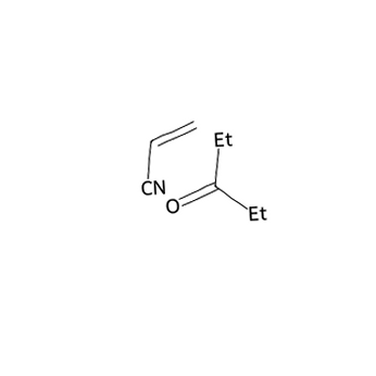 C=CC#N.CCC(=O)CC